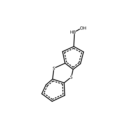 OBc1ccc2c(c1)Sc1ccccc1S2